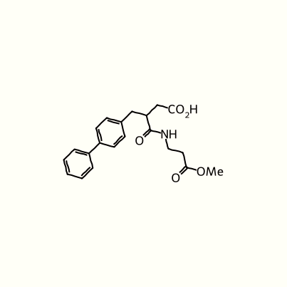 COC(=O)CCNC(=O)C(CC(=O)O)Cc1ccc(-c2ccccc2)cc1